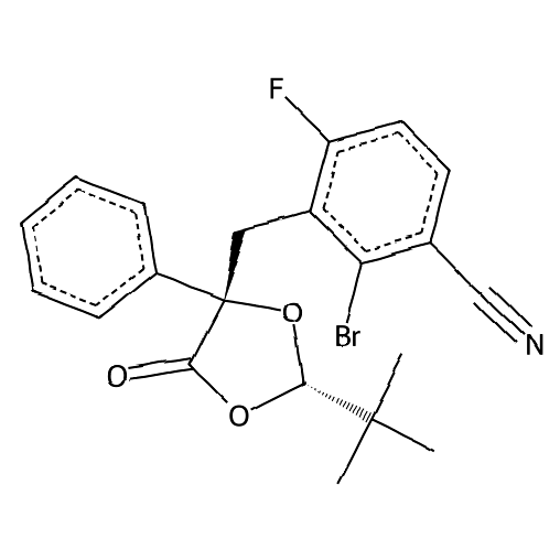 CC(C)(C)[C@@H]1OC(=O)[C@](Cc2c(F)ccc(C#N)c2Br)(c2ccccc2)O1